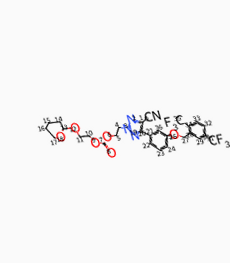 N#Cc1nn(CCOC(=O)OCCOC2CCCCO2)nc1-c1cccc(OCc2cc(C(F)(F)F)ccc2C(F)(F)F)c1